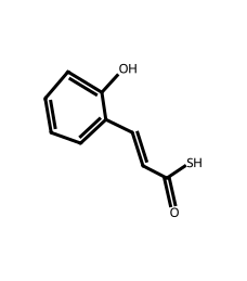 O=C(S)/C=C/c1ccccc1O